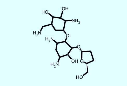 NCC1CC(OC2C(N)CC(N)C(O)C2O[C@H]2CC[C@@H](CO)O2)C(N)C(O)C1O